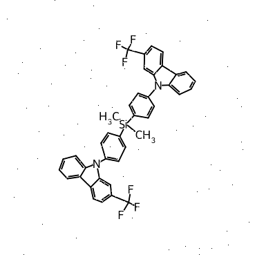 C[Si](C)(c1ccc(-n2c3ccccc3c3ccc(C(F)(F)F)cc32)cc1)c1ccc(-n2c3ccccc3c3ccc(C(F)(F)F)cc32)cc1